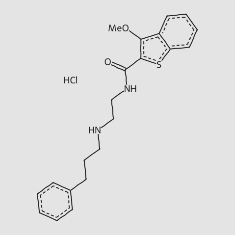 COc1c(C(=O)NCCNCCCc2ccccc2)sc2ccccc12.Cl